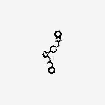 O=C(Cc1ccccc1)Nc1ccnn1C1CCN(Cc2nc3ccccc3s2)CC1